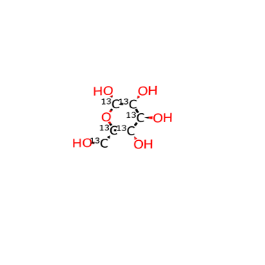 O[13CH2][13C@H]1O[13C@@H](O)[13C@H](O)[13C@@H](O)[13C@@H]1O